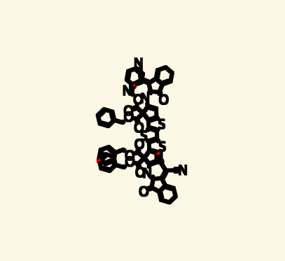 N#CC(C#N)=C1C2=CCCC=C2C(=O)/C1=N\C1=Cc2sc3c(sc4c5c(sc43)C=C(/N=C3/C(=O)C4=CCCC=C4C3=C(C#N)C#N)C5(C(=O)OCc3ccccc3)C(=O)OCc3ccccc3)c2C1(C(=O)OCc1ccccc1)C(=O)OCc1ccccc1